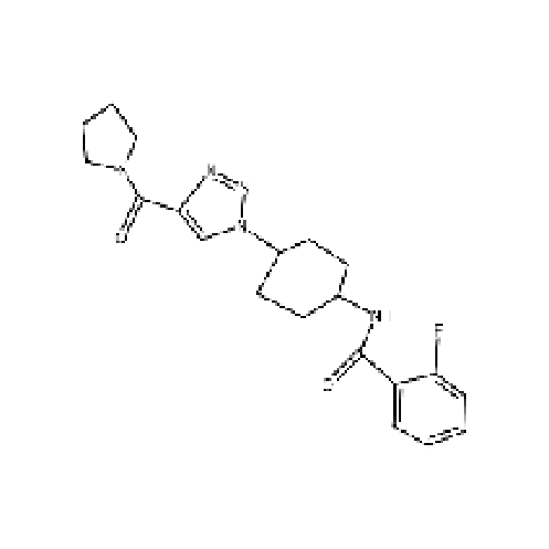 O=C(NC1CCC(n2cc(C(=O)N3CCCC3)nn2)CC1)c1ccccc1F